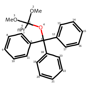 [CH2]CCC(OC)(OC)OC(c1ccccc1)(c1ccccc1)c1ccccc1